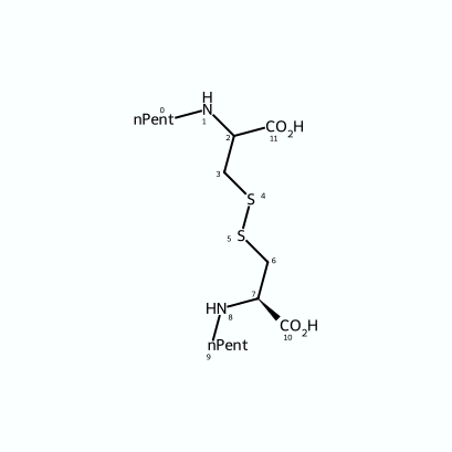 CCCCCNC(CSSC[C@H](NCCCCC)C(=O)O)C(=O)O